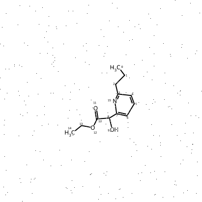 CCCc1cccc(C(O)C(=O)OCC)n1